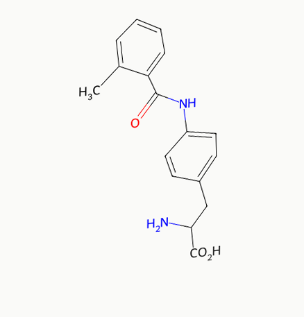 Cc1ccccc1C(=O)Nc1ccc(CC(N)C(=O)O)cc1